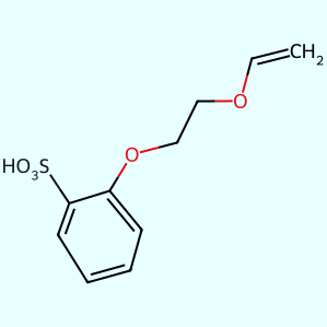 C=COCCOc1ccccc1S(=O)(=O)O